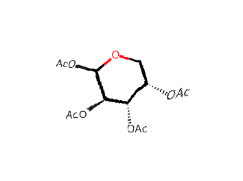 CC(=O)OC1OC[C@H](OC(C)=O)[C@H](OC(C)=O)[C@H]1OC(C)=O